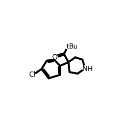 CC(C)(C)C(=O)C1(c2ccc(Cl)cc2)CCNCC1